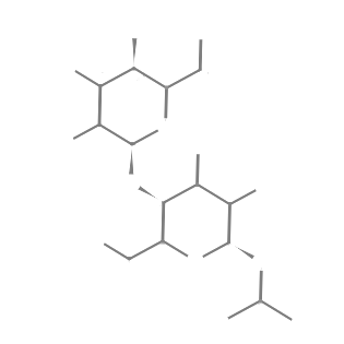 CC(C)O[C@H]1OC(CO)[C@@H](O[C@@H]2OC(CO)[C@H](O)C(O)C2O)C(O)C1O